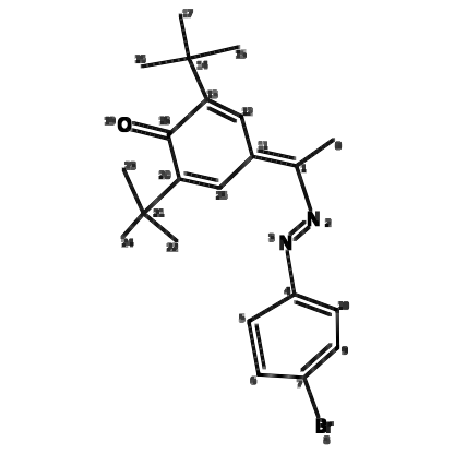 CC(N=Nc1ccc(Br)cc1)=C1C=C(C(C)(C)C)C(=O)C(C(C)(C)C)=C1